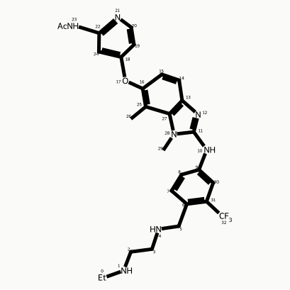 CCNCCNCc1ccc(Nc2nc3ccc(Oc4ccnc(NC(C)=O)c4)c(C)c3n2C)cc1C(F)(F)F